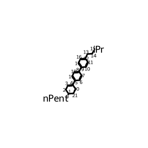 CCCCCC1CC=C(c2ccc(-c3ccc(CCC(C)C)cc3)cc2)CC1